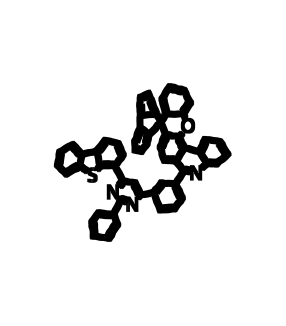 c1ccc(-c2nc(-c3cccc(-c4nc5ccccc5c5c6c(ccc45)C4(c5ccccc5O6)c5ccccc5-c5ccccc54)c3)cc(-c3cccc4c3sc3ccccc34)n2)cc1